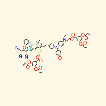 C=CC(=O)Oc1cc(OC(=O)C=C)cc(C(=O)OCCSC2=C(/C=C/c3ccc(N(c4ccc(OC)cc4)c4ccc(N(CC)CCOC(=O)c5cc(OC(=O)C=C)cc(OC(=O)C=C)c5)cc4)cc3)CC(C)(C)C/C2=C\C=C\C2=C(C#N)C(=C(C#N)C#N)OC2(c2ccccc2)C(F)(F)F)c1